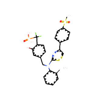 COc1ccccc1N(Cc1ccc(C(F)(F)P(=O)(O)O)c(Br)c1)c1nc(-c2ccc(S(C)(=O)=O)cc2)cs1